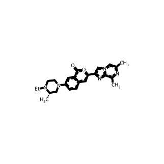 CCN1CCN(c2ccc3cc(-c4cn5cc(C)nc(C)c5n4)oc(=O)c3c2)C[C@@H]1C